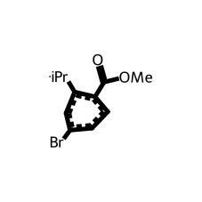 COC(=O)c1ccc(Br)cc1[C](C)C